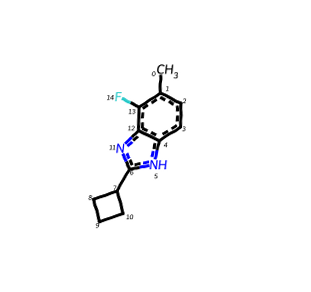 Cc1ccc2[nH]c(C3CCC3)nc2c1F